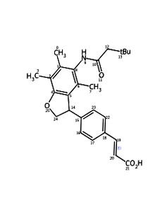 Cc1c(C)c2c(c(C)c1NC(=O)CC(C)(C)C)C(c1ccc(/C=C/C(=O)O)cc1)CO2